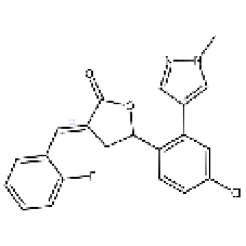 Cn1cc(-c2cc(Cl)ccc2C2C/C(=C\c3ccccc3F)C(=O)O2)cn1